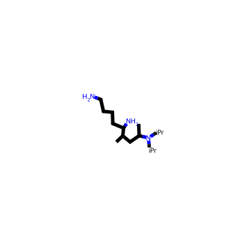 CC(CC(C)N(C(C)C)C(C)C)C(N)CCCCN